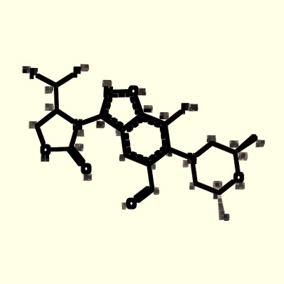 C[C@@H]1CN(c2c(C=O)cc3c(N4C(=O)OCC4C(F)F)noc3c2F)C[C@@H](C)O1